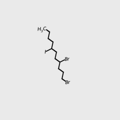 CCCCC(I)CCC(Br)CCCBr